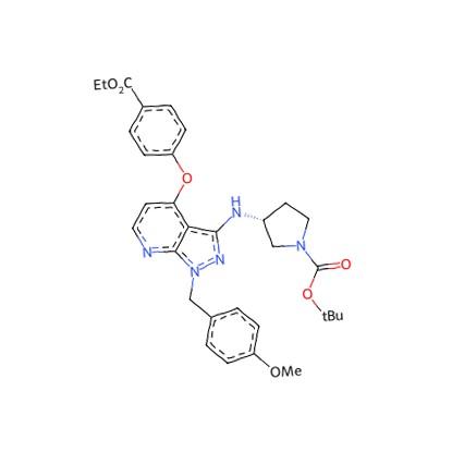 CCOC(=O)c1ccc(Oc2ccnc3c2c(N[C@@H]2CCN(C(=O)OC(C)(C)C)C2)nn3Cc2ccc(OC)cc2)cc1